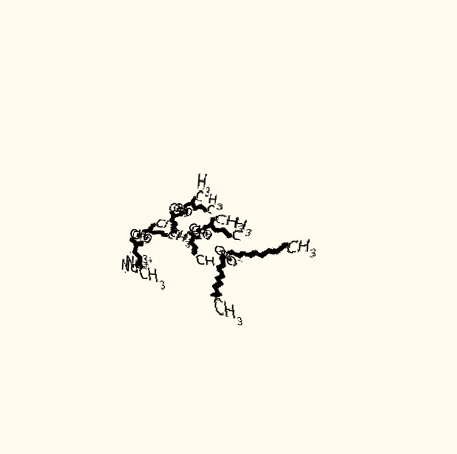 CCCCC(CC)CP(=O)([O-])CC(CC)CCCC.CCCCC(CC)CP(=O)([O-])CC(CC)CCCC.CCCCC(CC)CP(=O)([O-])CC(CC)CCCC.CCCCCCCCCCP(=O)([O-])CCCCCCCCCC.[Nd+3].[Nd+3]